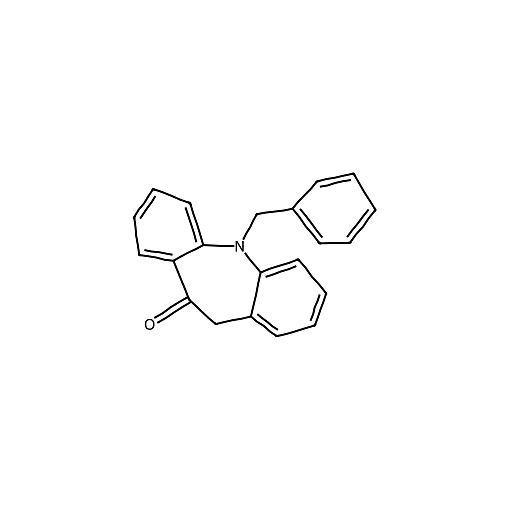 O=C1Cc2ccccc2N(Cc2ccccc2)c2ccccc21